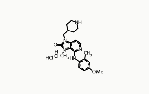 COc1ccc(Nc2nccc3c2n(C)c(=O)n3CC2CCNCC2)c(C)c1.Cl.Cl